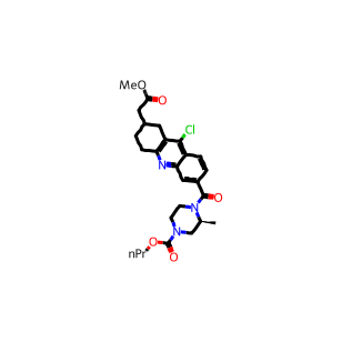 CCCOC(=O)N1CCN(C(=O)c2ccc3c(Cl)c4c(nc3c2)CCC(CC(=O)OC)C4)[C@@H](C)C1